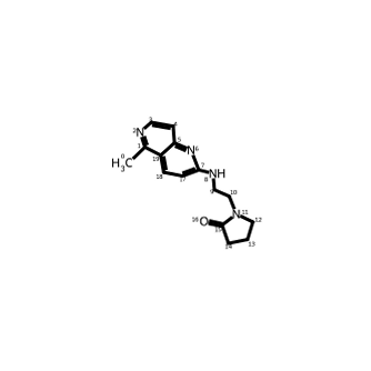 Cc1nccc2nc(NCCN3CCCC3=O)ccc12